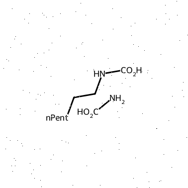 CCCCCCCNC(=O)O.NC(=O)O